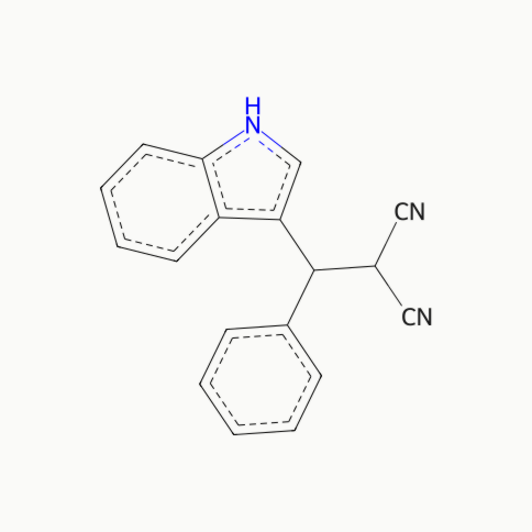 N#CC(C#N)C(c1ccccc1)c1c[nH]c2ccccc12